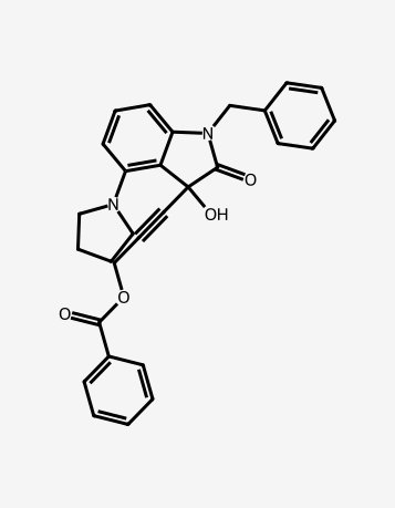 O=C(OCC#CC1(O)C(=O)N(Cc2ccccc2)c2cccc(N3CCCC3)c21)c1ccccc1